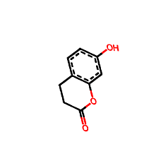 O=C1CCc2ccc(O)cc2O1